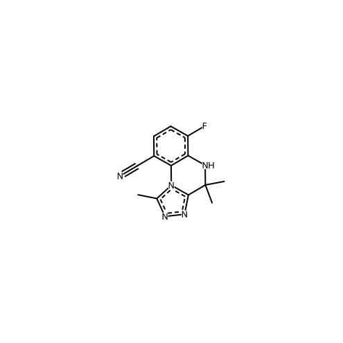 Cc1nnc2n1-c1c(C#N)ccc(F)c1NC2(C)C